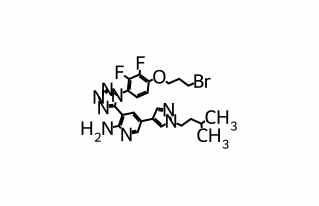 CC(C)CCn1cc(-c2cnc(N)c(-c3nnnn3-c3ccc(OCCCBr)c(F)c3F)c2)cn1